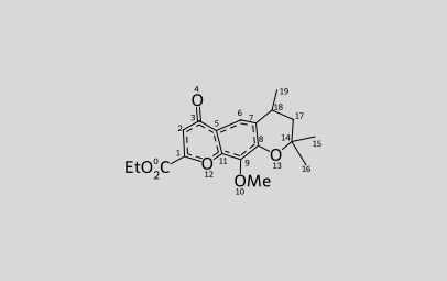 CCOC(=O)c1cc(=O)c2cc3c(c(OC)c2o1)OC(C)(C)CC3C